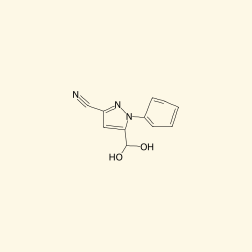 N#Cc1cc(C(O)O)n(-c2ccccc2)n1